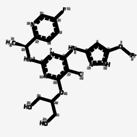 CC(C)Oc1cc(Nc2nc(N[C@@H](C)c3ccc(F)cn3)nc(OC(CO)CO)c2Cl)n[nH]1